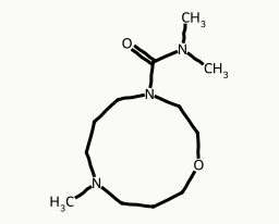 CN1CCCOCCN(C(=O)N(C)C)CCC1